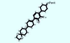 CCCCCC1CCC(c2ccc(C3=CCC(C4CCC5(CC4)OCCO5)CC3)c(F)c2F)CC1